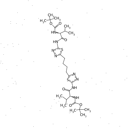 CC(C)[C@H](NC(=O)OC(C)(C)C)C(=O)Nc1nnc(CCCCc2nnc(NC(=O)[C@@H](NC(=O)OC(C)(C)C)C(C)C)s2)s1